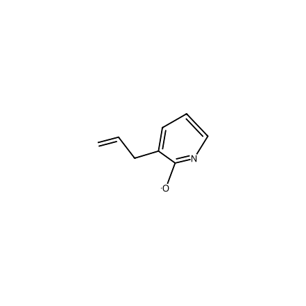 C=CCc1cccnc1[O]